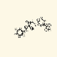 CN(CC[C@H]1CN(C(=O)O)CCO1)C(=O)OCc1ccccc1